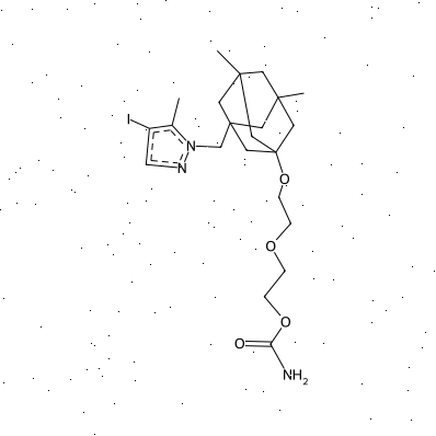 Cc1c(I)cnn1CC12CC3(C)CC(C)(C1)CC(OCCOCCOC(N)=O)(C3)C2